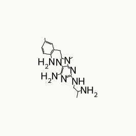 Cc1ccc(N)c(Cc2nc3c(N)nc(NCC(C)N)nc3n2C)c1